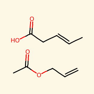 C=CCOC(C)=O.CC=CCC(=O)O